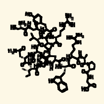 CC[C@H](C)[C@H](NC(=O)[C@H](CC(N)=O)NC(=O)[C@H](Cc1c[nH]cn1)NC(=O)[C@@H](NC(=O)[C@@H]1CCCN1C(=O)[C@H](CCCNC(=N)N)NC(=O)[C@H](Cc1ccc(O)cc1)NC(=O)CNC(=O)[C@@H](N)CS)C(C)C)C(=O)NCC(=O)N[C@@H](Cc1c[nH]cn1)C(=O)N[C@@H](Cc1c[nH]c2ccccc12)C(=O)N[C@@H](CCCNC(=N)N)C(=O)N[C@@H](C)C(=O)N1CCC[C@H]1C(=O)NCC(=O)O